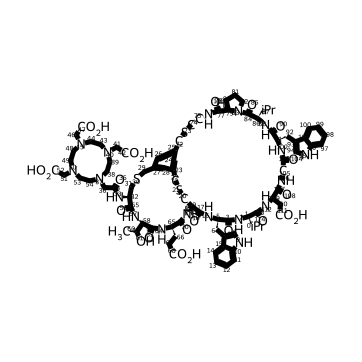 CC(C)[C@@H]1NC(=O)[C@H](Cc2c[nH]c3ccccc23)NC(=O)[C@@H]2CSCc3cc(cc(c3)CSC[C@H](NC(=O)CN3CCN(CC(=O)O)CCN(CC(=O)O)CCN(CC(=O)O)CC3)C(=O)N[C@@H]([C@@H](C)O)C(=O)N[C@@H](CCC(=O)O)C(=O)N2)CSCCNC(=O)[C@@H]2CCCN2C(=O)[C@H](C(C)C)NC(=O)[C@H](Cc2c[nH]c3ccccc23)NC(=O)CNC(=O)C(CC(=O)O)NC1=O